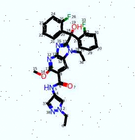 CCn1cc(NC(=O)c2cc3c(nc2OC)nc(C(O)(c2ccccc2F)c2ccccc2F)n3CC)cn1